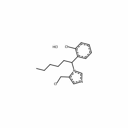 CCCCCC(c1ccccc1Cl)n1cncc1CCl.Cl